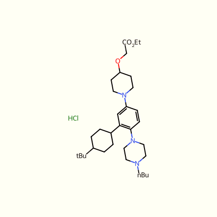 CCCCN1CCN(c2ccc(N3CCC(OCC(=O)OCC)CC3)cc2C2CCC(C(C)(C)C)CC2)CC1.Cl